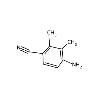 Cc1c(N)ccc(C#N)c1C